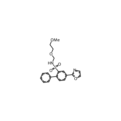 COCCOCNS(=O)(=O)c1cc(-c2ncco2)ccc1-c1ccccc1